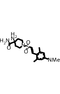 CNc1cc(C)c(C=CS(=O)(=O)N2CCC(N)(C(N)=O)CC2)c(C)c1